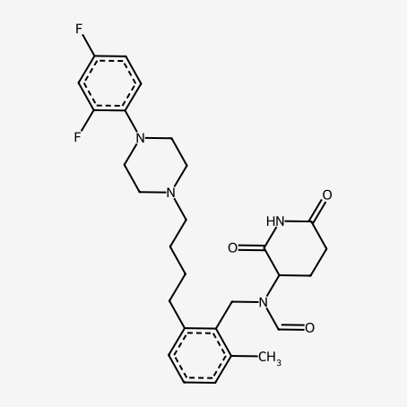 Cc1cccc(CCCCN2CCN(c3ccc(F)cc3F)CC2)c1CN(C=O)C1CCC(=O)NC1=O